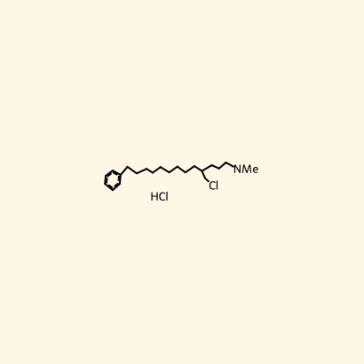 CNCCCC(CCl)CCCCCCCCCc1ccccc1.Cl